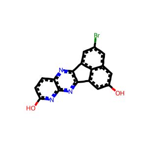 Oc1cc2c3c(cc(Br)cc3c1)-c1nc3ccc(O)nc3nc1-2